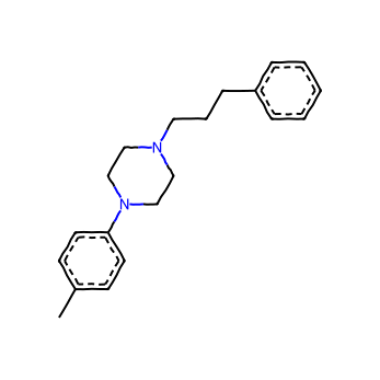 Cc1ccc(N2CCN(CCCc3ccccc3)CC2)cc1